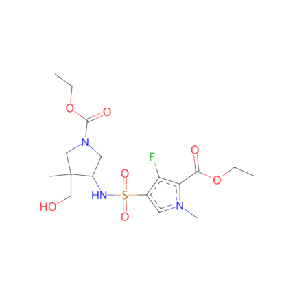 CCOC(=O)c1c(F)c(S(=O)(=O)NC2CN(C(=O)OCC)CC2(C)CO)cn1C